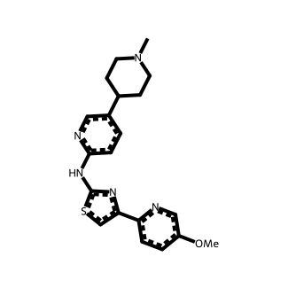 COc1ccc(-c2csc(Nc3ccc(C4CCN(C)CC4)cn3)n2)nc1